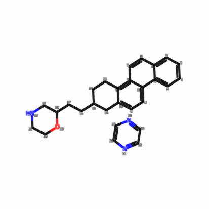 c1ccc2c(c1)ccc1c3c(ccc12)CC(CCC1CNCCO1)CC3.c1cnccn1